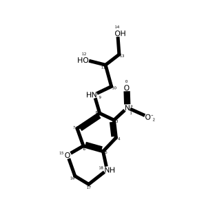 O=[N+]([O-])c1cc2c(cc1NCC(O)CO)OCCN2